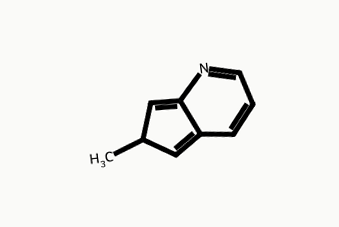 CC1C=c2cccnc2=C1